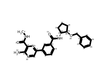 CNC(=O)c1nc(-c2cccc(C(=O)N[C@@H]3CCC[C@H]3OCc3ccccc3)c2)cnc1N